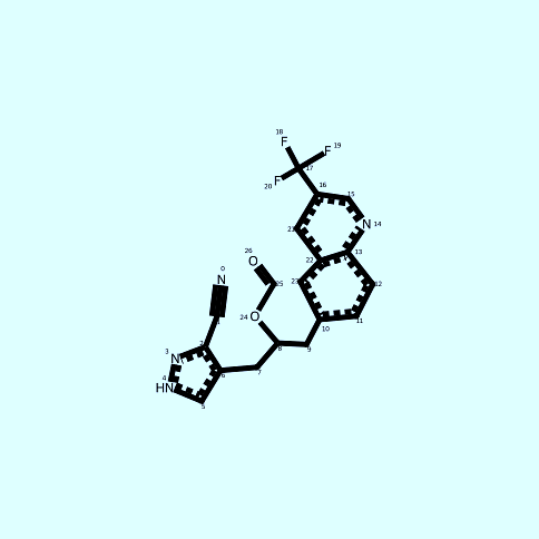 N#Cc1n[nH]cc1CC(Cc1ccc2ncc(C(F)(F)F)cc2c1)OC=O